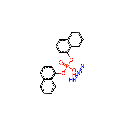 O=P(O)(Oc1cccc2ccccc12)Oc1cccc2ccccc12.[N-]=[N+]=N